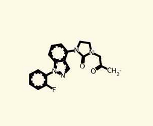 [CH2]C(=O)CN1CCN(c2cccc3c2cnn3-c2ccccc2F)C1=O